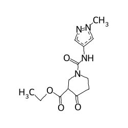 CCOC(=O)C1CN(C(=O)Nc2cnn(C)c2)CCC1=O